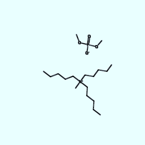 CCCCC[N+](C)(CCCCC)CCCCC.COP(=O)([O-])OC